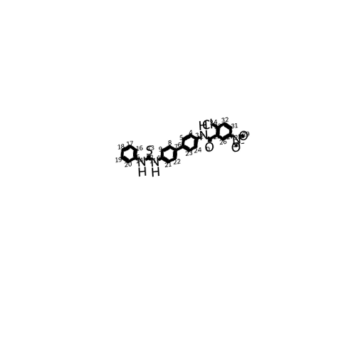 O=C(Nc1ccc(-c2ccc(NC(=S)Nc3ccccc3)cc2)cc1)c1cc([N+](=O)[O-])ccc1Cl